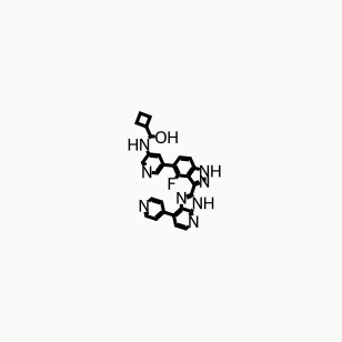 OC(Nc1cncc(-c2ccc3[nH]nc(-c4nc5c(-c6ccncc6)ccnc5[nH]4)c3c2F)c1)C1CCC1